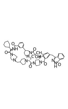 CC(C)(O)C(=O)N1CCCC(c2cccc(C(=O)N[C@@H](C(=O)N3CCN(CC4CCN(CC(=O)N5CCN(C(=O)c6cc(Cc7n[nH]c(=O)c8ccccc78)ccc6F)CC5)CC4)CC3)C3CCCCC3)c2)C1